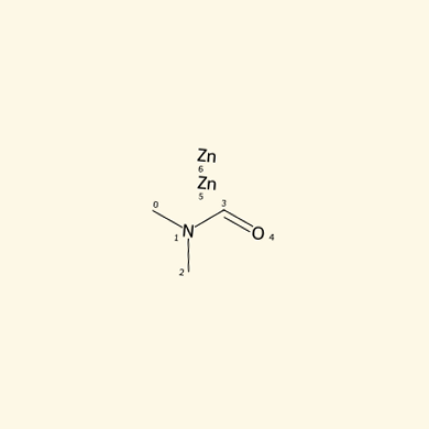 CN(C)C=O.[Zn].[Zn]